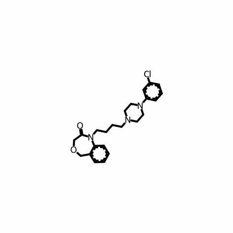 O=C1COCc2ccccc2N1CCCCN1CCN(c2cccc(Cl)c2)CC1